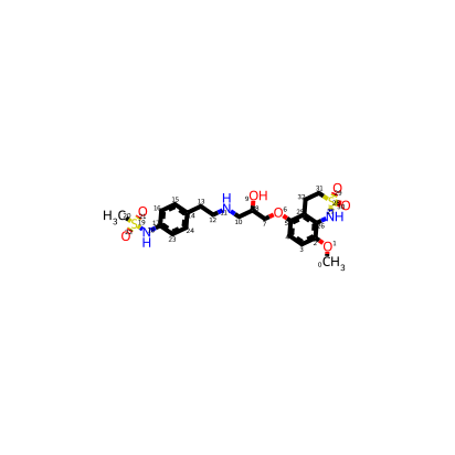 COc1ccc(OCC(O)CNCCc2ccc(NS(C)(=O)=O)cc2)c2c1NS(=O)(=O)CC2